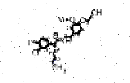 C#CCOc1ccc(CCNC(=O)[C@@H](OC/C=C/C)c2ccc(Cl)c(Cl)c2)cc1OC